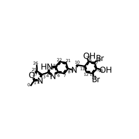 Cc1nc(-c2nc3cc(/N=C/c4cc(Br)c(O)c(Br)c4O)ccc3[nH]2)c(C)o1